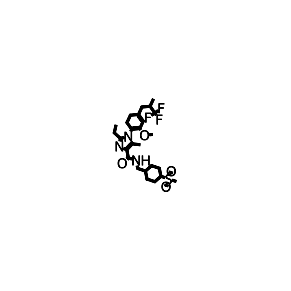 CCc1nc(C(=O)NCC2CCC(S(C)(=O)=O)CC2)c(C)n1C1=C(OC)C=C(CC(C)C(F)(F)F)CC1